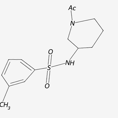 CC(=O)N1CCCC(NS(=O)(=O)c2cccc(C)c2)C1